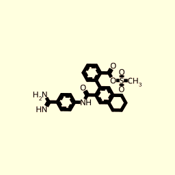 CS(=O)(=O)OC(=O)c1ccccc1-c1cc2c(cc1C(=O)Nc1ccc(C(=N)N)cc1)CCCC2